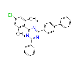 Cc1cc(Cl)cc(C)c1-c1nc(-c2ccccc2)nc(-c2ccc(-c3ccccc3)cc2)n1